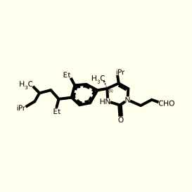 CCc1cc([C@]2(C)NC(=O)N(CCC=O)C=C2C(C)C)ccc1C(CC)CC(C)CC(C)C